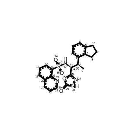 C[C@H](c1cccc2c1CCC2)[C@H](NS(=O)(=O)c1cccc2cccnc12)c1n[nH]c(=O)o1